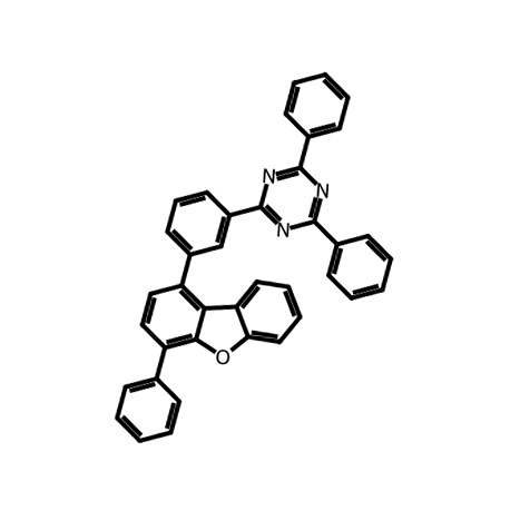 c1ccc(-c2nc(-c3ccccc3)nc(-c3cccc(-c4ccc(-c5ccccc5)c5oc6ccccc6c45)c3)n2)cc1